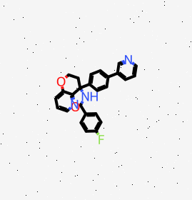 O=C(NC1(c2ccc(-c3cccnc3)cc2)CCOc2cccnc21)c1ccc(F)cc1